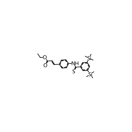 CCOC(=O)C=Cc1ccc(NC(=S)c2cc([Si](C)(C)C)cc([Si](C)(C)C)c2)cc1